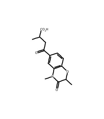 CC(CC(=O)c1ccc2c(c1)N(C)C(=O)C(C)O2)C(=O)O